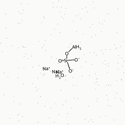 O.[Na+].[Na+].[Na+].[O-][Si]([O-])([O-])[O][AlH2]